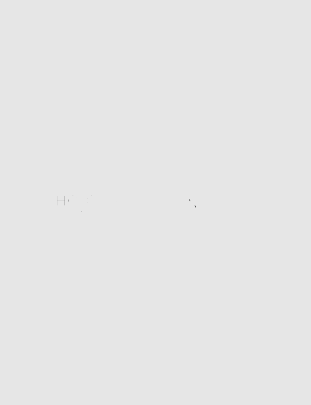 O=C(O)c1ccc(N2CC3CC3C2)cc1